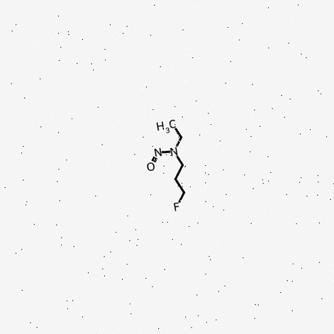 CCN(CCCF)N=O